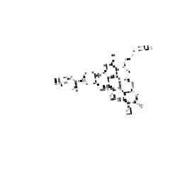 C=CC(=O)N1CCN(c2nc(=O)n3c4c(c(-c5cc(Cl)c(F)cc5F)c(C(F)(F)F)cc24)SC[C@@H]3COCOC)[C@@H](C)C1